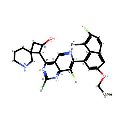 CCc1c(F)ccc2cc(OCOC)cc(-c3ncc4c(C5C(O)CC56CCCNC6)nc(Cl)nc4c3F)c12